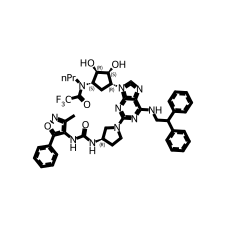 CCCN(C(=O)C(F)(F)F)[C@H]1C[C@@H](n2cnc3c(NCC(c4ccccc4)c4ccccc4)nc(N4CC[C@@H](NC(=O)Nc5c(C)noc5-c5ccccc5)C4)nc32)[C@H](O)[C@@H]1O